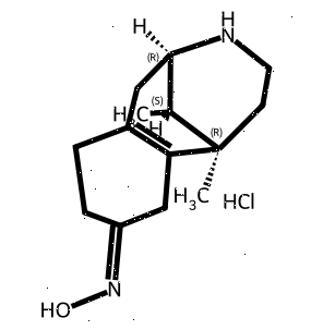 C[C@@H]1[C@H]2CC3=C(CC(=NO)CC3)[C@]1(C)CCN2.Cl